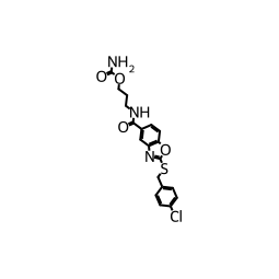 NC(=O)OCCCNC(=O)c1ccc2oc(SCc3ccc(Cl)cc3)nc2c1